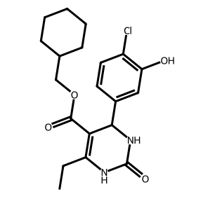 CCC1=C(C(=O)OCC2CCCCC2)C(c2ccc(Cl)c(O)c2)NC(=O)N1